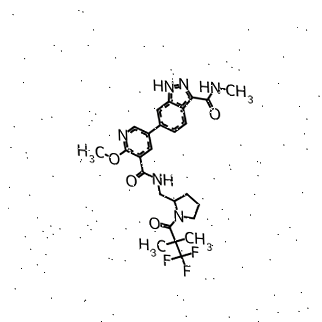 CNC(=O)c1n[nH]c2cc(-c3cnc(OC)c(C(=O)NCC4CCCN4C(=O)C(C)(C)C(F)(F)F)c3)ccc12